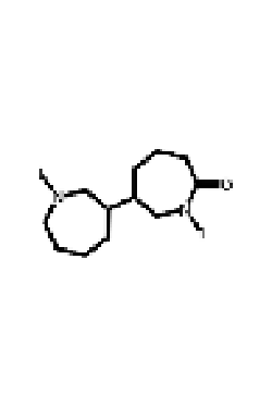 O=C1CCCC(C2CCCCN(I)C2)CN1I